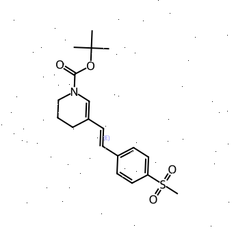 CC(C)(C)OC(=O)N1C=C(/C=C/c2ccc(S(C)(=O)=O)cc2)CCC1